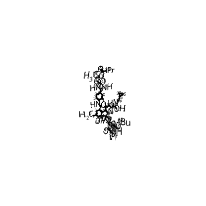 C=Cc1cc(C(=O)Nc2ccc(C(=N)NC(=O)OC(C)OC(=O)C(C)C)cc2)c(-c2ccc(C(O)NCC3CC3)nc2C(=O)OCOC(=O)[C@@H](NC(=O)OC(C)(C)C)C(C)C)cc1OC